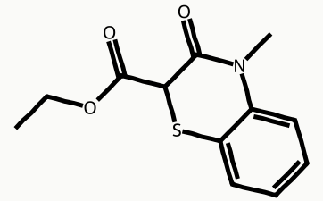 CCOC(=O)C1Sc2ccccc2N(C)C1=O